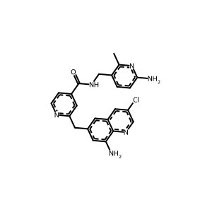 Cc1nc(N)ccc1CNC(=O)c1ccnc(Cc2cc(N)c3ncc(Cl)cc3c2)c1